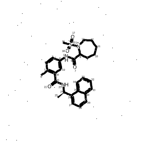 Cc1ccc(NC(=O)C2CCCCCN2S(C)(=O)=O)cc1C(=O)N[C@H](C)c1cccc2ccccc12